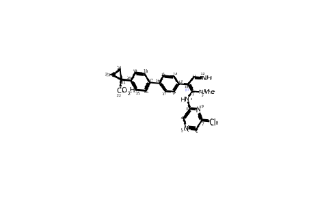 CN/C(Nc1cncc(Cl)n1)=C(\C=N)c1ccc(-c2ccc(C3(C(=O)O)CC3)cc2)cc1